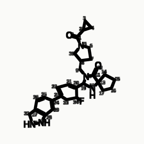 O=C(C1CC1)N1CC[C@@H](CN2C(=O)C3(CCCC3)NC2C2=CC=C(c3ccc4c(c3)NNC4)CC2F)C1